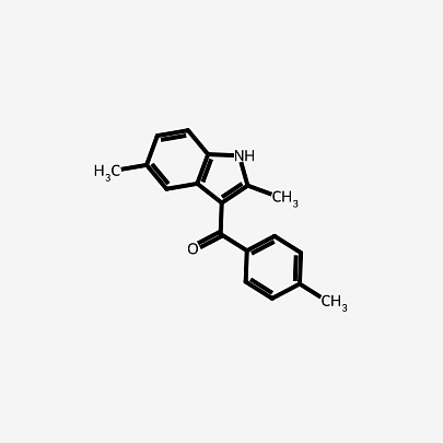 Cc1ccc(C(=O)c2c(C)[nH]c3ccc(C)cc23)cc1